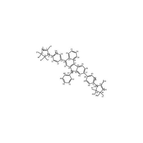 CC1=NC(C)(C)C(C)(C)N1c1ccc(-c2cc3c(c4ccccc24)c2ccc(-c4ccc(N5C(I)=NC(C)(C)C5(C)C)nc4)cc2n3-c2ccccc2)cn1